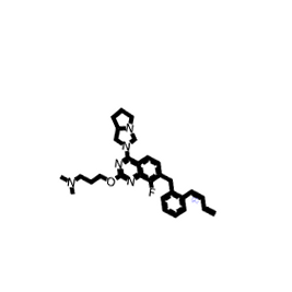 C=C/C=C\c1ccccc1Cc1ccc2c(N3CC4CCCN4C3)nc(OCCCN(C)C)nc2c1F